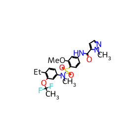 CCc1ccc(N(C)S(=O)(=O)c2ccc(NC(=O)c3ccnn3C)cc2OC)cc1OC(C)(F)F